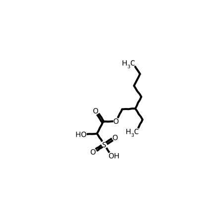 CCCCC(CC)COC(=O)C(O)S(=O)(=O)O